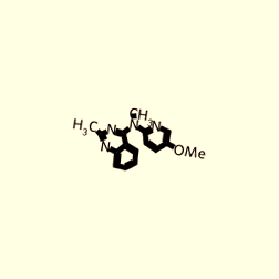 COc1ccc(N(C)c2nc(C)nc3ccccc23)nc1